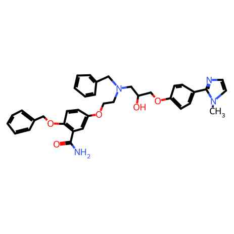 Cn1ccnc1-c1ccc(OCC(O)CN(CCOc2ccc(OCc3ccccc3)c(C(N)=O)c2)Cc2ccccc2)cc1